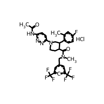 CC(=O)Nc1ccc(N2CCC(C(=O)N(C)Cc3cc(C(F)(F)F)cc(C(F)(F)F)c3)C(c3ccc(F)cc3C)C2)nn1.Cl